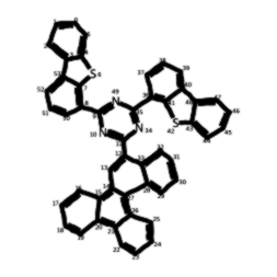 c1ccc2c(c1)sc1c(-c3nc(-c4cc5c6ccccc6c6ccccc6c5c5ccccc45)nc(-c4cccc5c4sc4ccccc45)n3)cccc12